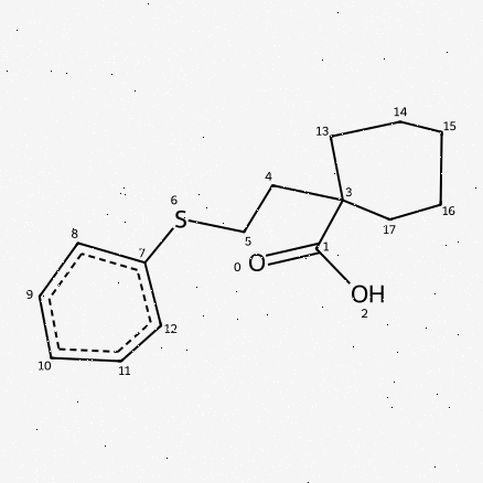 O=C(O)C1(CCSc2ccccc2)CCCCC1